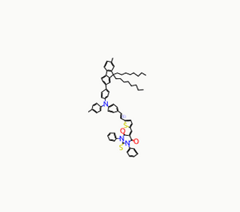 CCCCCCCCC1(CCCCCCCC)c2cc(C)ccc2-c2ccc(-c3ccc(N(c4ccc(C)cc4)c4ccc(/C=C/c5ccc(C=C6C(=O)N(c7ccccc7)C(=S)N(c7ccccc7)C6=O)s5)cc4)cc3)cc21